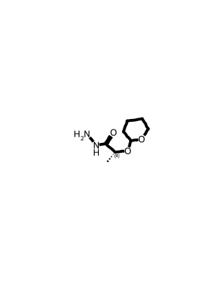 C[C@@H](OC1CCCCO1)C(=O)NN